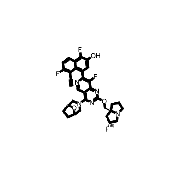 C#Cc1c(F)ccc2c(F)c(O)cc(-c3ncc4c(N5CC6CCC(C5)O6)nc(OC[C@@]56CCCN5C[C@H](F)C6)nc4c3F)c12